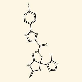 Cc1ncsc1C1(CNC(=O)c2cnn(-c3ccc(F)cc3)n2)NC(=O)NC1=O